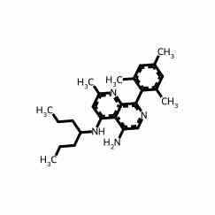 CCCC(CCC)Nc1cc(C)nc2c(-c3c(C)cc(C)cc3C)ncc(N)c12